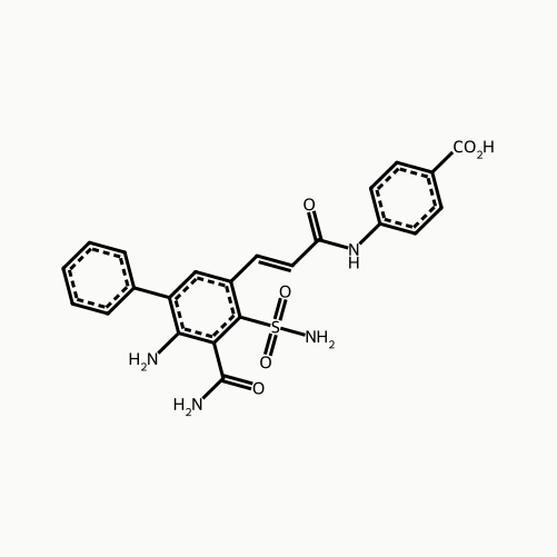 NC(=O)c1c(N)c(-c2ccccc2)cc(C=CC(=O)Nc2ccc(C(=O)O)cc2)c1S(N)(=O)=O